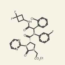 CCOC(=O)CN1C[C@@H](C(=O)N(c2cccc(F)c2)C(C(=O)NC2CC(F)(F)C2)c2ccccc2Cl)N(c2ncccn2)C1=O